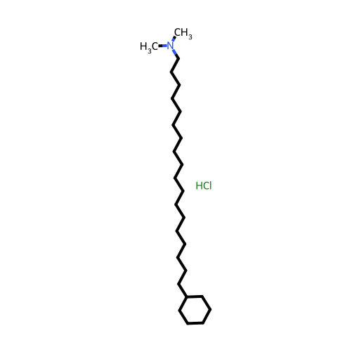 CN(C)CCCCCCCCCCCCCCCCCCC1CCCCC1.Cl